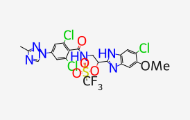 COc1cc2nc(C(CNC(=O)c3c(Cl)cc(-n4cnc(C)n4)cc3Cl)OS(=O)(=O)C(F)(F)F)[nH]c2cc1Cl